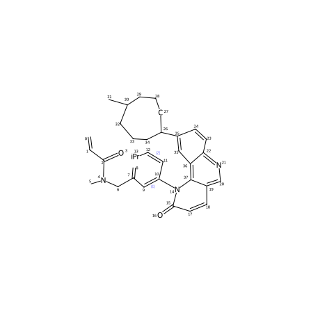 C=CC(=O)N(C)CC(=C)/C=C(\C=C/C(C)C)n1c(=O)ccc2cnc3ccc(C4CCCC(C)CCC4)cc3c21